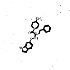 CC1CCN(C(=O)[C@@H](CCc2ccccc2)NSc2ccc3cc[nH]c3c2)CC1